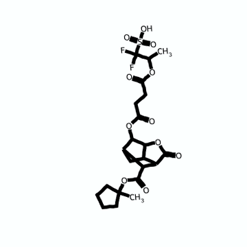 CC(OC(=O)CCC(=O)OC1C2CC3C1OC(=O)C3C2C(=O)OC1(C)CCCC1)C(F)(F)S(=O)(=O)O